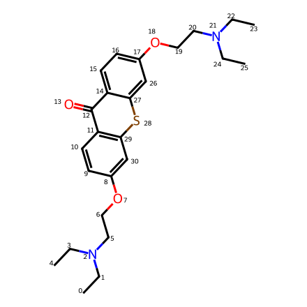 CCN(CC)CCOc1ccc2c(=O)c3ccc(OCCN(CC)CC)cc3sc2c1